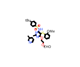 COc1ccccc1Sc1c(NS(=O)(=O)c2ccc(C(C)(C)C)cc2)nc(C)nc1OCCOC=O.Cc1cccnc1